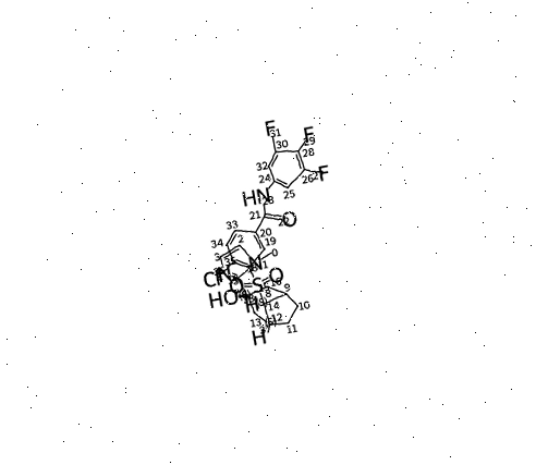 Cn1ccnc1[C@]1(O)CC2CC[C@@H](C1)[C@H]2S(=O)(=O)c1cc(C(=O)Nc2cc(F)c(F)c(F)c2)ccc1Cl